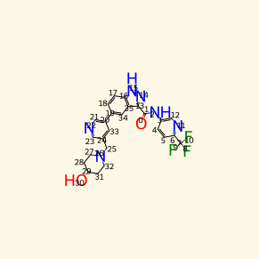 O=C(Nc1ccc(C(F)(F)F)nc1)c1n[nH]c2ccc(-c3cncc(CN4CCC(O)CC4)c3)cc12